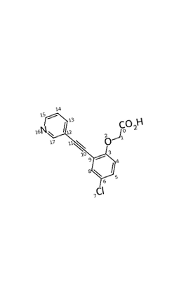 O=C(O)COc1ccc(Cl)cc1C#Cc1cccnc1